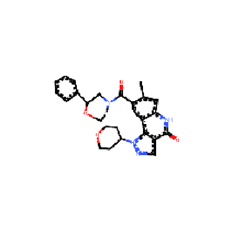 Cc1cc2[nH]c(=O)c3cnn(C4CCOCC4)c3c2cc1C(=O)N1CCOC(c2ccccc2)C1